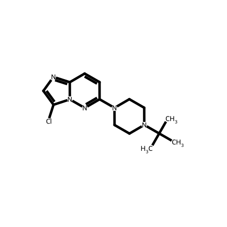 CC(C)(C)N1CCN(c2ccc3ncc(Cl)n3n2)CC1